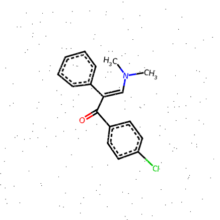 CN(C)C=C(C(=O)c1ccc(Cl)cc1)c1ccccc1